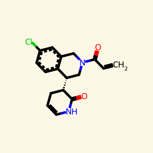 C=CC(=O)N1Cc2cc(Cl)ccc2[C@@H](C2CC=CNC2=O)C1